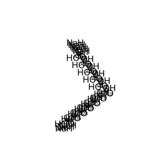 O=S(O)O.O=S(O)O.O=S(O)O.O=S(O)O.O=S(O)O.O=S(O)O.O=S(O)O.O=S(O)O.O=S(O)O.O=S(O)O.O=S(O)O.O=S(O)O.[NaH].[NaH].[NaH].[NaH].[NaH].[NaH].[NaH].[NaH]